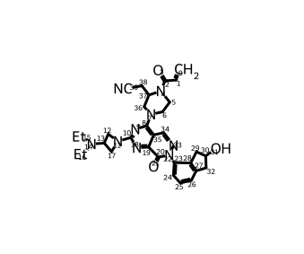 C=CC(=O)N1CCN(c2nc(N3CC(N(CC)CC)C3)nc3c(=O)n(-c4cccc5c4CC(O)C5)ncc23)CC1CC#N